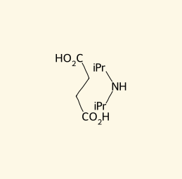 CC(C)NC(C)C.O=C(O)CCC(=O)O